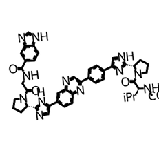 CC(C)[C@H](NC(=O)O)C(=O)N1CCC[C@H]1c1nc(-c2ccc(-c3cnc4cc(-c5cnc([C@@H]6CCCN6C(=O)CNC(=O)c6ccc7[nH]cnc7c6)[nH]5)ccc4n3)cc2)c[nH]1